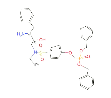 CC(C)CN(C[C@@H](O)[C@@H](N)Cc1ccccc1)S(=O)(=O)c1ccc(OCP(=O)(OCc2ccccc2)OCc2ccccc2)cc1